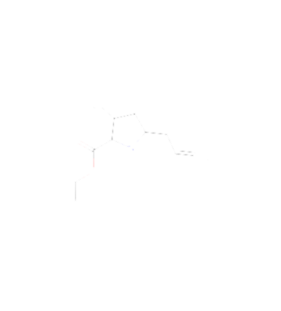 C=CCC1CC(C)C(C(=O)OCC)N1